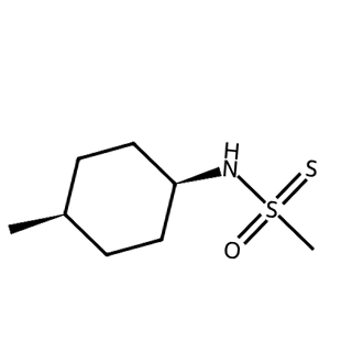 CS(=O)(=S)N[C@H]1CC[C@@H](C)CC1